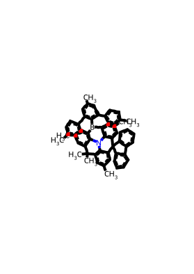 Cc1ccc(-c2cc(C)cc(-c3ccc(C)cc3)c2B2c3cc(C)cc4c3N3c5c2cc(C)cc5C2(c5ccccc5-c5ccccc52)c2cc(C)cc(c23)C4(C)C)cc1